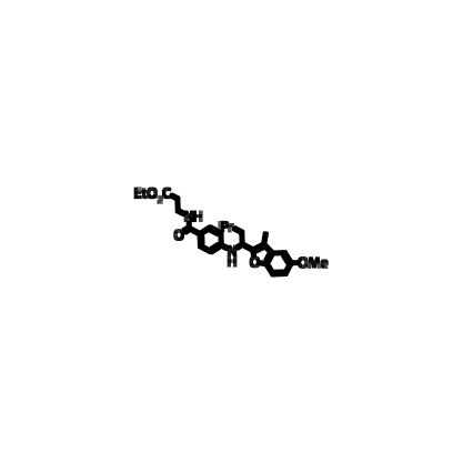 CCOC(=O)CCNC(=O)c1ccc(NC(CC(C)C)c2oc3ccc(OC)cc3c2C)cc1